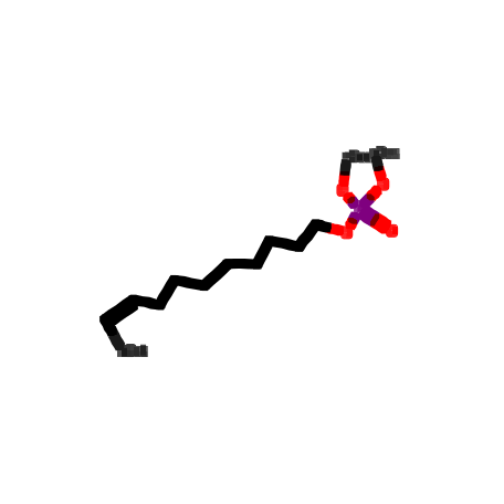 CCCCCCCC/C=C\CCCCCCCCOP(=O)(OCCCCCCCCCC)OCCCCCCCCCC